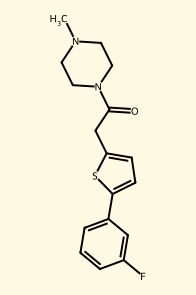 CN1CCN(C(=O)Cc2ccc(-c3cccc(F)c3)s2)CC1